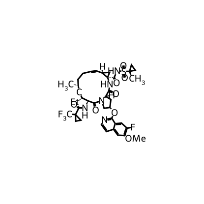 CC[C@@H]1C[C@H](C)CC/C=C\[C@@H]2C[C@@]2(C(=O)NS(=O)(=O)C2(C)CC2)NC(=O)[C@@H]2C[C@@H](Oc3nccc4cc(OC)c(F)cc34)CN2C(=O)[C@H]1NC(=O)C1(C(F)(F)F)CC1